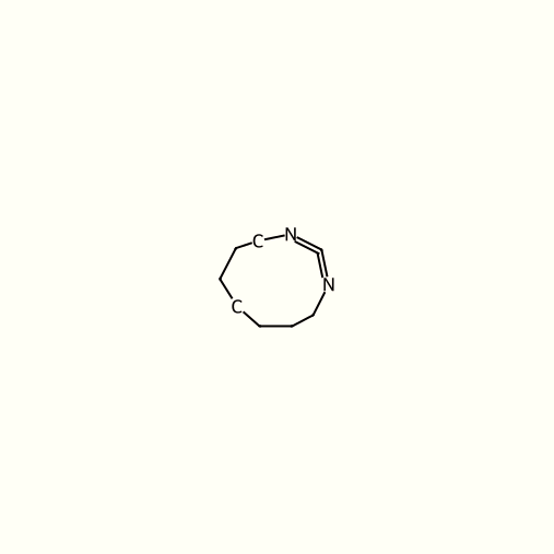 C1=NCCCCCCCN=1